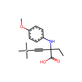 CCC(C#C[Si](C)(C)C)(Nc1ccc(OC)cc1)C(=O)O